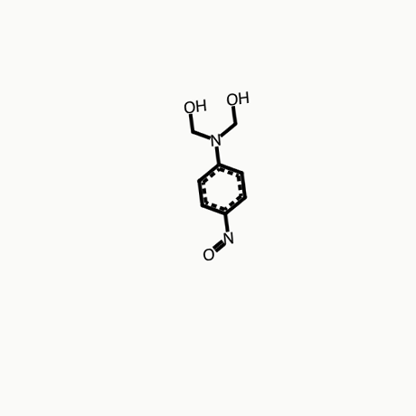 O=Nc1ccc(N(CO)CO)cc1